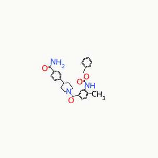 Cc1ccc(C(=O)N2CCC(c3ccc(C(N)=O)cc3)CC2)cc1NC(=O)OCc1ccccc1